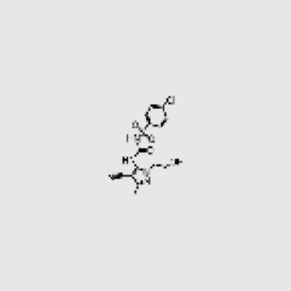 Cc1nn(CCO)c(NC(=O)NS(=O)(=O)c2ccc(Cl)cc2)c1C#N